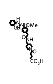 COc1cc(CC(=O)NCC2CCN(C(=O)CCCC(=O)O)CC2)ccc1NC(=O)Nc1ccccc1C